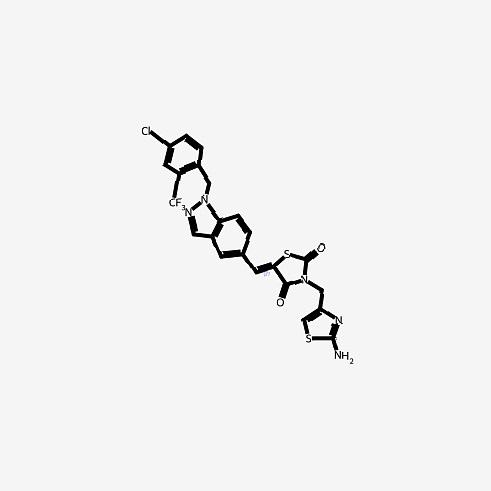 Nc1nc(CN2C(=O)S/C(=C\c3ccc4c(cnn4Cc4ccc(Cl)cc4C(F)(F)F)c3)C2=O)cs1